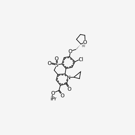 CC(C)OC(=O)c1cc2c(n(C3CC3)c1=O)-c1cc(Cl)c(OC[C@@H]3CCCO3)cc1S(=O)(=O)C2